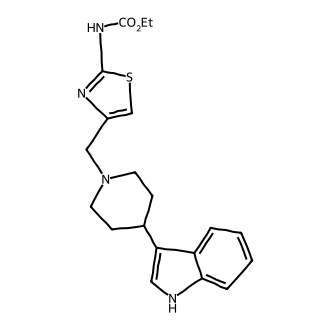 CCOC(=O)Nc1nc(CN2CCC(c3c[nH]c4ccccc34)CC2)cs1